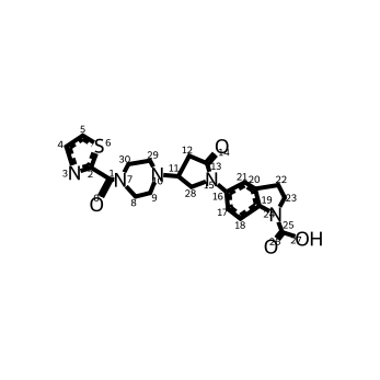 O=C(c1nccs1)N1CCN(C2CC(=O)N(c3ccc4c(c3)CCN4C(=O)O)C2)CC1